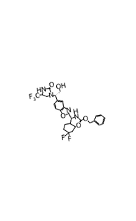 O=C(N[C@H](c1nc2cc([C@@H](CO)N3C[C@@H](C(F)(F)F)NC3=O)ccc2o1)C1CCC(F)(F)CC1)OCc1ccccc1